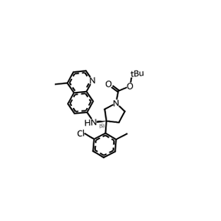 Cc1cccc(Cl)c1[C@@]1(Nc2ccc3c(C)ccnc3c2)CCN(C(=O)OC(C)(C)C)C1